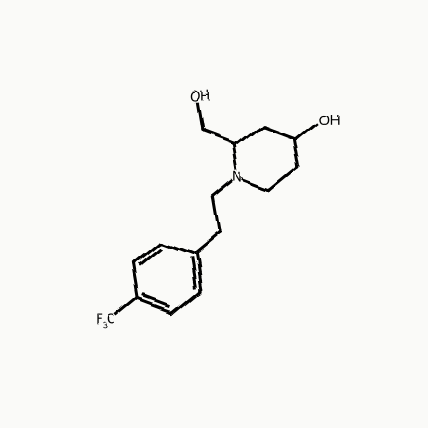 OCC1CC(O)CCN1CCc1ccc(C(F)(F)F)cc1